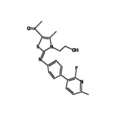 CC(=O)c1sc(=Nc2ccc(-c3ccc(C)nc3F)cc2)n(CCO)c1C